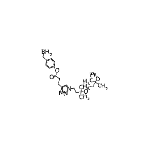 BCc1ccc(OC(=O)CCc2cn(CCC(C)(C)OCCC(C)(C)OC(C)C)nn2)cc1